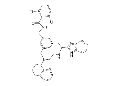 CC(NCCN(Cc1cccc(CNC(=O)c2c(Cl)cncc2Cl)c1)C1CCCc2cccnc21)c1nc2ccccc2[nH]1